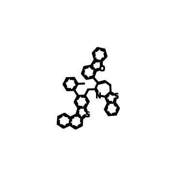 Cc1ccccc1-c1cc2c(cc1CC1=Nc3c(sc4ccccc34)CC=C1c1cccc3c1oc1ccccc13)sc1ccc3ccccc3c12